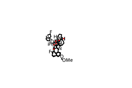 COCOc1cc(-c2nc3c4c(nc(OC[C@@]56CCCN5C[C@H](F)C6)nc4c2F)N2C[C@H]4CC[C@@H]([C@H]2CCC3)N4C(=O)OC(C)(C)C)c2c(C#C[Si](C(C)C)(C(C)C)C(C)C)c(F)ccc2c1